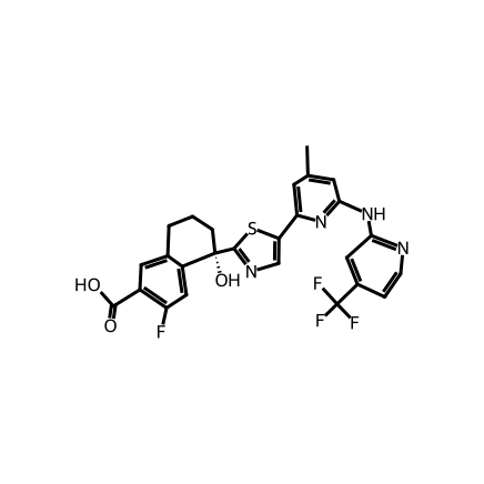 Cc1cc(Nc2cc(C(F)(F)F)ccn2)nc(-c2cnc([C@]3(O)CCCc4cc(C(=O)O)c(F)cc43)s2)c1